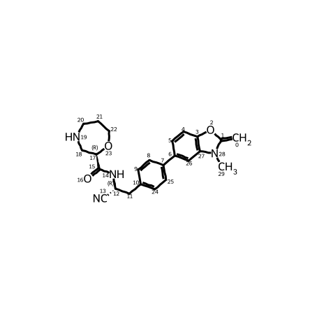 C=C1Oc2ccc(-c3ccc(C[C@H](C#N)NC(=O)[C@H]4CNCCCO4)cc3)cc2N1C